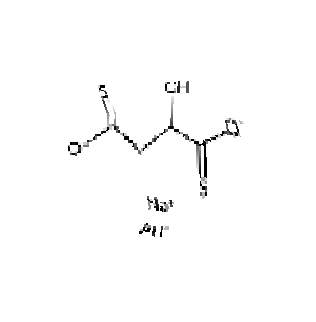 [Au+].[Na+].[O-]C(=S)CC(O)C([O-])=S